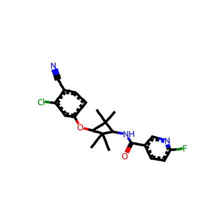 CC1(C)C(NC(=O)c2ccc(F)nc2)C(C)(C)C1Oc1ccc(C#N)c(Cl)c1